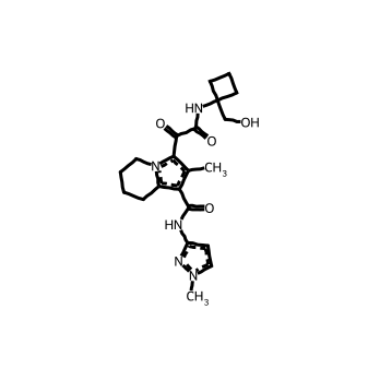 Cc1c(C(=O)Nc2ccn(C)n2)c2n(c1C(=O)C(=O)NC1(CO)CCC1)CCCC2